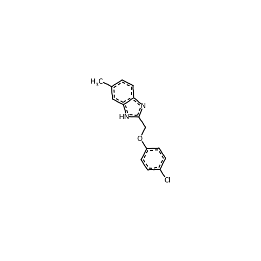 Cc1ccc2nc(COc3ccc(Cl)cc3)[nH]c2c1